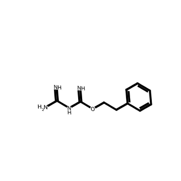 N=C(N)NC(=N)OCCc1ccccc1